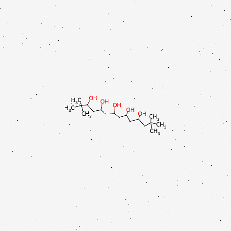 CC(C)(C)CC(O)CC(O)CC(O)CC(O)CC(O)C(C)(C)C